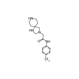 O=C(CN1CNC2(CCNCC2)C1)Nc1ccc(C(F)(F)F)cc1